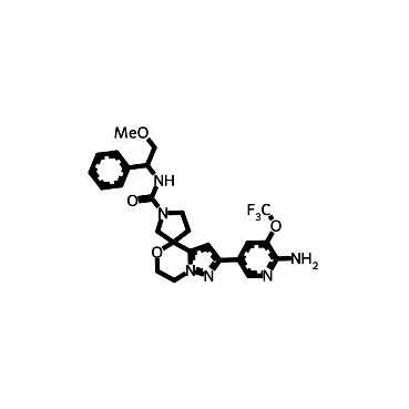 COCC(NC(=O)N1CCC2(C1)OCCn1nc(-c3cnc(N)c(OC(F)(F)F)c3)cc12)c1ccccc1